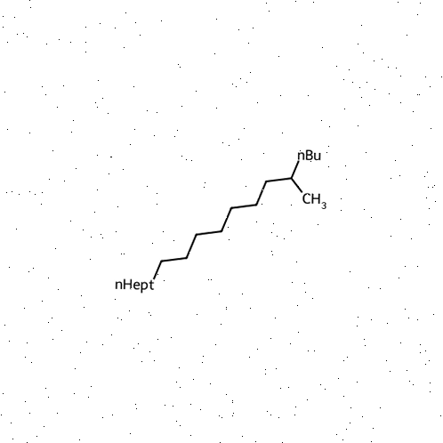 [CH2]CCCCCCCCCCCCCC(C)CCCC